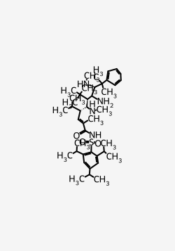 CNC([C@H](/C=C(\C)C(=O)NS(=O)(=O)c1c(C(C)C)cc(C(C)C)cc1C(C)C)C(C)C)[C@H](C(N)[C@@H](NC)C(C)(C)c1ccccc1)C(C)(C)C